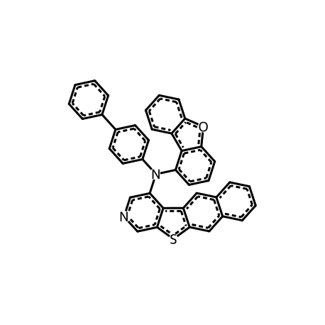 c1ccc(-c2ccc(N(c3cccc4oc5ccccc5c34)c3cncc4sc5cc6ccccc6cc5c34)cc2)cc1